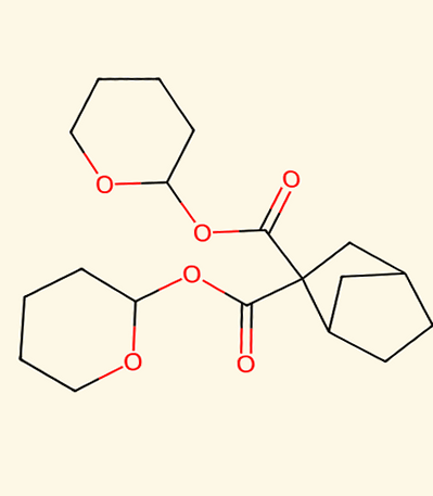 O=C(OC1CCCCO1)C1(C(=O)OC2CCCCO2)CC2CCC1C2